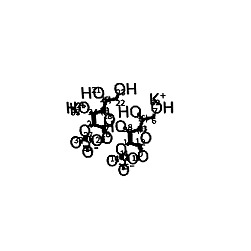 O=C1O[C@H]([C@@H](O)CO)C(O)=C1OS(=O)(=O)[O-].O=C1O[C@H]([C@@H](O)CO)C(O)=C1OS(=O)(=O)[O-].[K+].[K+]